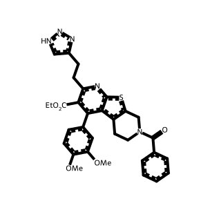 CCOC(=O)c1c(CCc2c[nH]nn2)nc2sc3c(c2c1-c1ccc(OC)c(OC)c1)CCN(C(=O)c1ccccc1)C3